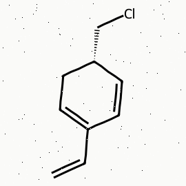 C=CC1=CC[C@H](CCl)C=C1